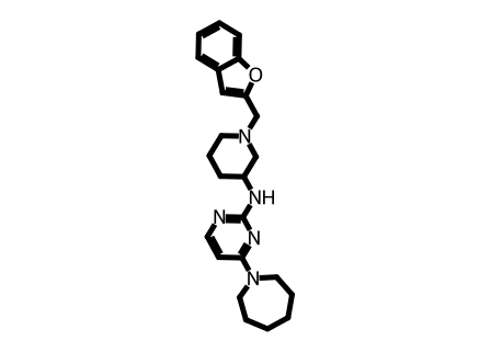 c1ccc2oc(CN3CCCC(Nc4nccc(N5CCCCCC5)n4)C3)cc2c1